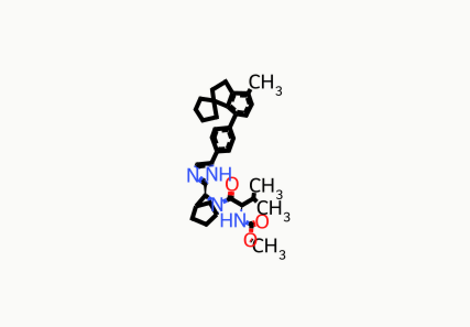 COC(=O)N[C@H](C(=O)N1C2CCC(C2)[C@H]1c1ncc(-c2ccc(-c3ccc(C)c4c3C3(CCCC3)CC4)cc2)[nH]1)C(C)C